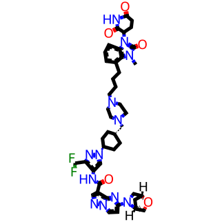 Cn1c(=O)n(C2CCC(=O)NC2=O)c2cccc(CCCCN3CCN(C[C@H]4CC[C@H](n5cc(NC(=O)c6cnn7ccc(N8C[C@H]9C[C@@H]8CO9)nc67)c(C(F)F)n5)CC4)CC3)c21